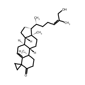 CC(=CCC[C@@H](C)[C@H]1CC[C@H]2[C@@H]3CC=C4C5(CC5)C(=O)CC[C@]4(C)[C@H]3CC[C@]12C)CO